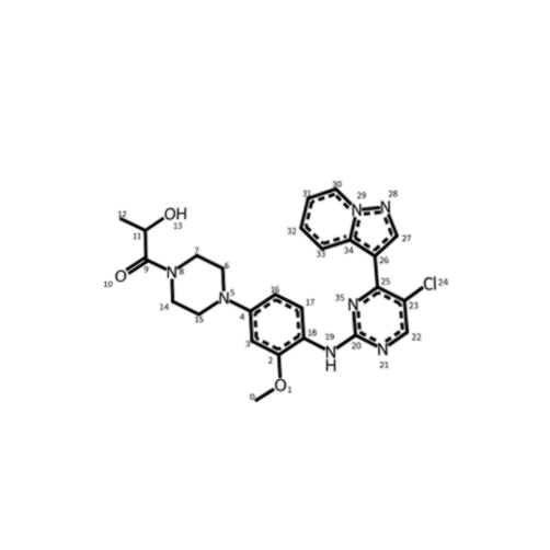 COc1cc(N2CCN(C(=O)C(C)O)CC2)ccc1Nc1ncc(Cl)c(-c2cnn3ccccc23)n1